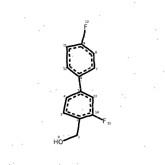 OCc1ccc(-c2ccc(F)cc2)cc1F